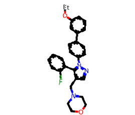 CCOc1cccc(-c2ccc(-n3ncc(CN4CCOCC4)c3-c3ccccc3F)cc2)c1